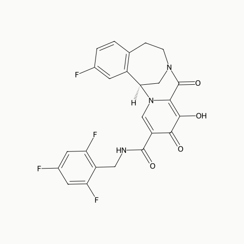 O=C(NCc1c(F)cc(F)cc1F)c1cn2c(c(O)c1=O)C(=O)N1CCc3ccc(F)cc3[C@H]2C1